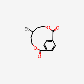 CCC1CCOC(=O)c2ccc(cc2)C(=O)OCC1